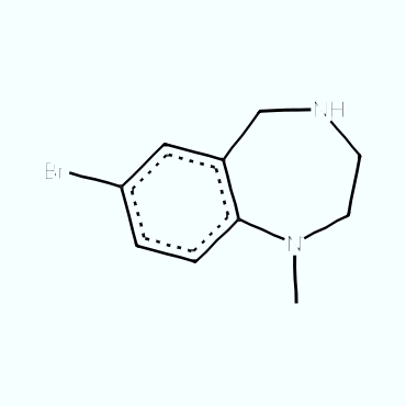 CN1CCNCc2cc(Br)ccc21